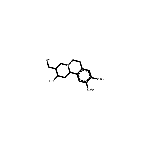 COc1cc2c(cc1OCC(C)C)CCN1CC(CC(C)C)C(O)CC21